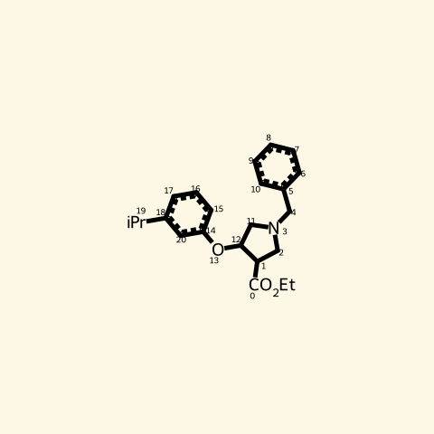 CCOC(=O)C1CN(Cc2ccccc2)CC1Oc1cccc(C(C)C)c1